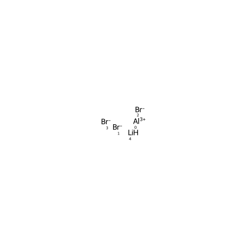 [Al+3].[Br-].[Br-].[Br-].[LiH]